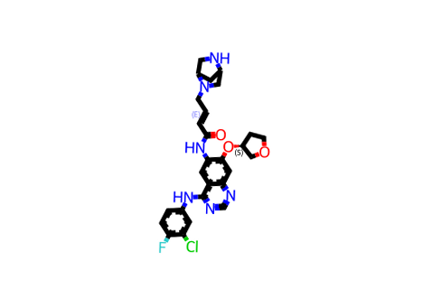 O=C(/C=C/CN1CC2CC1CN2)Nc1cc2c(Nc3ccc(F)c(Cl)c3)ncnc2cc1O[C@H]1CCOC1